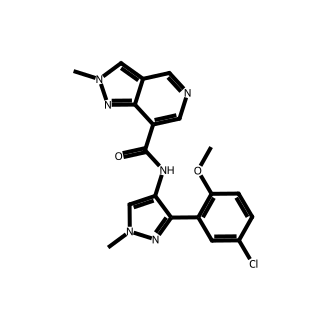 COc1ccc(Cl)cc1-c1nn(C)cc1NC(=O)c1cncc2cn(C)nc12